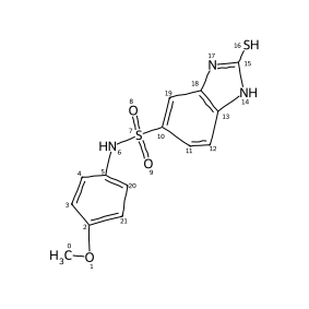 COc1ccc(NS(=O)(=O)c2ccc3[nH]c(S)nc3c2)cc1